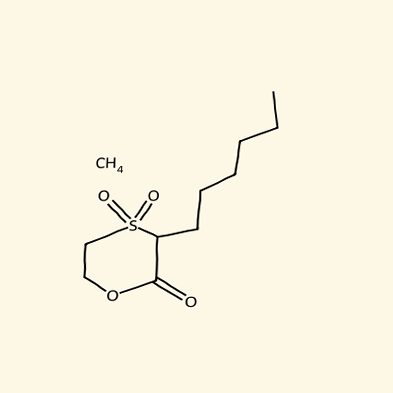 C.CCCCCCC1C(=O)OCCS1(=O)=O